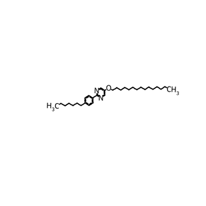 CCCCCCCCCCCCCCCOc1cnc(-c2ccc(CCCCCCC)cc2)nc1